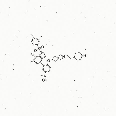 Cc1ccc(S(=O)(=O)n2ccc3c(-c4cc(C(C)(C)O)ccc4OC4CC5(C4)CN(CCC4CCNCC4)C5)cn(C)c(=O)c32)cc1